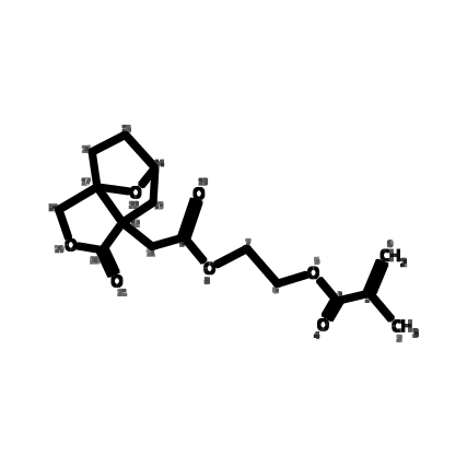 C=C(C)C(=O)OCCOC(=O)CC12CC3CCC1(COC2=O)O3